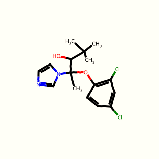 CC(C)(C)C(O)C(C)(Oc1ccc(Cl)cc1Cl)n1ccnc1